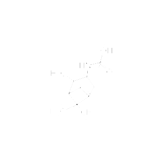 CC1C(NC(=O)O)CC2CC1C2(C)C